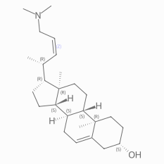 C[C@H](/C=C\CN(C)C)[C@H]1CC[C@H]2[C@@H]3CC=C4C[C@@H](O)CC[C@]4(C)[C@H]3CC[C@]12C